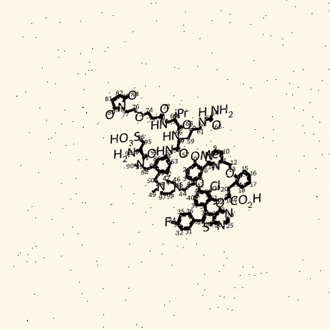 COc1ccccc1-c1nccc(COc2ccccc2C[C@@H](Oc2ncnc3sc(-c4ccc(F)cc4)c(-c4ccc(OCCN5CC[N+](C)(Cc6ccc(NC(=O)[C@H](CCCNC(N)=O)NC(=O)[C@@H](NC(=O)CCOCCN7C(=O)C=CC7=O)C(C)C)cc6CN(C)C(=O)[C@@H](N)CS(=O)(=O)O)CC5)c(Cl)c4C)c23)C(=O)O)n1